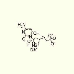 Nc1ccn(C2(O)OC[C@H](OCP(=O)([O-])[O-])[C@H]2O)c(=O)n1.[Na+].[Na+]